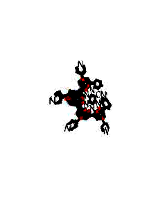 N#Cc1c(-n2c3ccccc3c3ccccc32)c(-n2c3ccc(-c4ccncc4)cc3c3cc(-c4ccncc4)ccc32)c(-n2c3ccccc3c3ccccc32)c(-n2c3ccc(-c4ccncc4)cc3c3cc(-c4ccncc4)ccc32)c1-n1c2ccccc2c2ccccc21